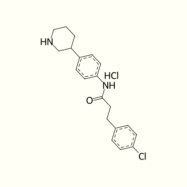 Cl.O=C(CCc1ccc(Cl)cc1)Nc1ccc(C2CCCNC2)cc1